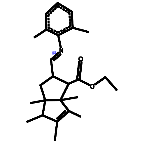 CCOC(=O)C1C(/C=N/c2c(C)cccc2C)CC2(C)C(C)C(C)=C(C)C12C